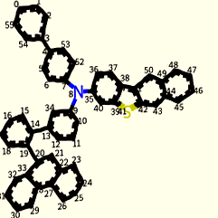 c1ccc(-c2ccc(N(c3cccc(-c4ccccc4-c4cc5ccccc5c5ccccc45)c3)c3ccc4c(c3)sc3cc5ccccc5cc34)cc2)cc1